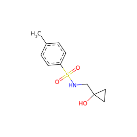 Cc1ccc(S(=O)(=O)NCC2(O)CC2)cc1